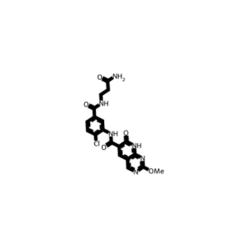 COc1ncc2cc(C(=O)Nc3cc(C(=O)NCCC(N)=O)ccc3Cl)c(=O)[nH]c2n1